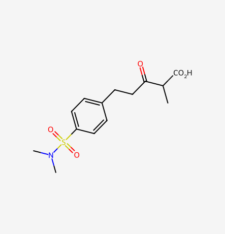 CC(C(=O)O)C(=O)CCc1ccc(S(=O)(=O)N(C)C)cc1